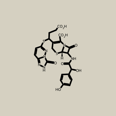 O=C(O)CCC(Sc1ccc2n[nH]c(=O)n2n1)C1=C(C(=O)O)N2C(=O)C(NC(=O)C(O)c3ccc(O)cc3)[C@@H]2SC1